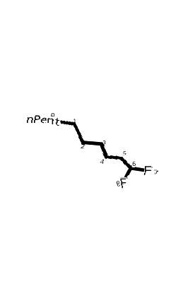 CCCCCCCCCC[C](F)F